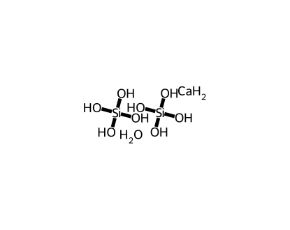 O.O[Si](O)(O)O.O[Si](O)(O)O.[CaH2]